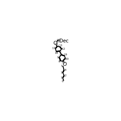 CC=CC=CCOc1ccc(-c2ccc(OCCCCCCCCCC)cc2)cc1